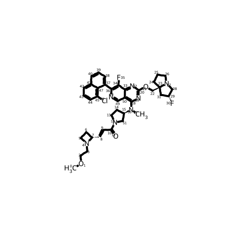 COCCN1CC[C@@H]1/C=C/C(=O)N1CC[C@@H](N(C)c2nc(OC[C@@]34CCCN3C[C@H](F)C4)nc3c(F)c(-c4cccc5cccc(Cl)c45)ncc23)C1